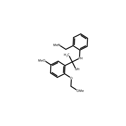 CCCC(C)(Pc1ccccc1CNC)c1cc(OC)ccc1OCOC